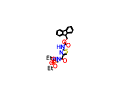 CCOP(=O)(CNC(=O)c1csc(NC(=O)OCC2c3ccccc3-c3ccccc32)n1)OCC